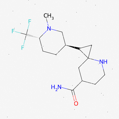 CN1C[C@@H](C2CC23CC(C(N)=O)CCN3)CC[C@@H]1C(F)(F)F